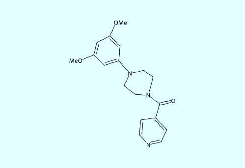 COc1cc(OC)cc(N2CCN(C(=O)c3ccncc3)CC2)c1